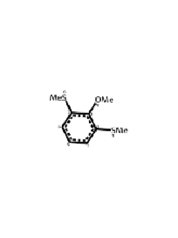 COc1c(SC)cccc1SC